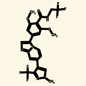 COc1cc(-c2cnc3cc(-c4cn(C)nc4C(F)(F)F)ccn23)cc(OC)c1C(=O)NCC(F)(F)F